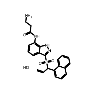 C=CC(c1cccc2ccccc12)S(=O)(=O)c1n[nH]c2c(NC(=O)CCN)cccc12.Cl